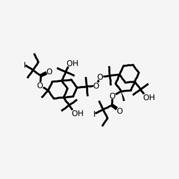 CCC(C)(I)C(=O)OC1(C)CC2(C(C)(C)O)CC(C(C)(C)OOC(C)(C)C34CCCC(C(C)(C)O)(C3)C[C@](C)(OC(=O)C(C)(I)CC)C4)CC(C(C)(C)O)(C1)C2